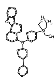 CC[Si](CC)(CC)c1ccc(N(c2ccc(-c3ccccc3)cc2)c2cccc3c2ccc2c4ccccc4oc32)cc1